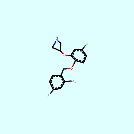 FC(F)(F)c1ccc(COc2ccc(Cl)cc2OC2CNC2)c(C(F)(F)F)c1